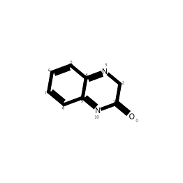 O=C1CN=c2ccccc2=N1